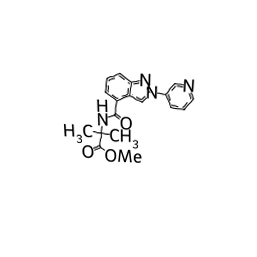 COC(=O)C(C)(C)NC(=O)c1cccc2nn(-c3cccnc3)cc12